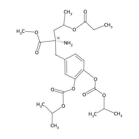 CCC(=O)OC(C)C[C@@](N)(Cc1ccc(OC(=O)OC(C)C)c(OC(=O)OC(C)C)c1)C(=O)OC